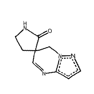 O=C1NCCC12C=Nc1ccnn1C2